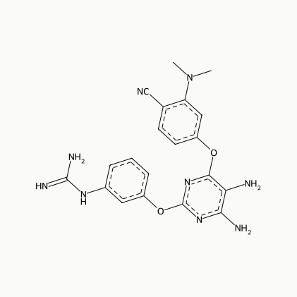 CN(C)c1cc(Oc2nc(Oc3cccc(NC(=N)N)c3)nc(N)c2N)ccc1C#N